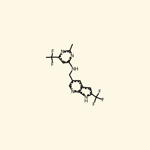 Cc1nc(NCc2cnc3[nH]c(C(F)(F)F)cc3c2)cc(C(C)(F)F)n1